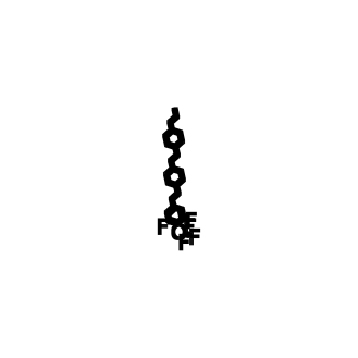 CCCC1CCC(CCC2CCC(CCc3cc(F)c(OC(F)(F)F)c(F)c3)CC2)CC1